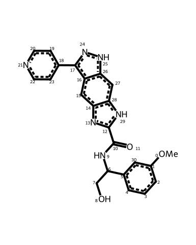 COc1cccc(C(CO)NC(=O)c2nc3cc4c(-c5ccncc5)n[nH]c4cc3[nH]2)c1